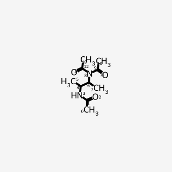 CC(=O)NC(C)C(C)N(C(C)=O)C(C)=O